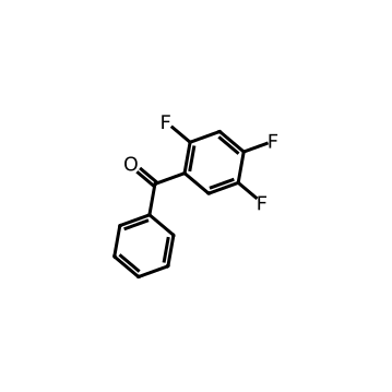 O=C(c1ccccc1)c1cc(F)c(F)cc1F